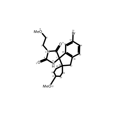 COCCN1C(=O)NC2(C1=O)c1cc(Br)ccc1CC21CCC(OC)CC1